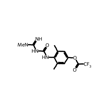 CNC(=N)NC(=O)Nc1c(C)cc(OC(=O)C(F)(F)F)cc1C